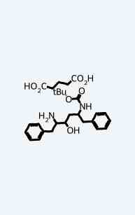 CC(C)(C)OC(=O)NC(Cc1ccccc1)CC(O)C(N)Cc1ccccc1.O=C(O)CCCC(=O)O